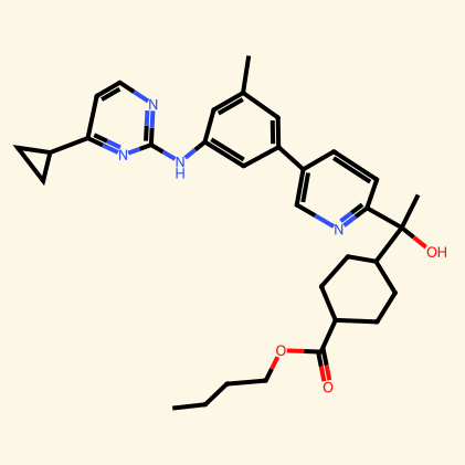 CCCCOC(=O)C1CCC(C(C)(O)c2ccc(-c3cc(C)cc(Nc4nccc(C5CC5)n4)c3)cn2)CC1